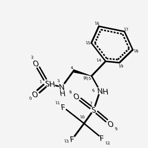 O=[SH](=O)NC[C@H](NS(=O)(=O)C(F)(F)F)c1ccccc1